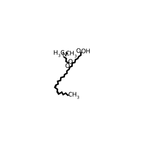 CCCCC/C=C\C/C=C\CCCCCCCCCC(CCCCCCCC(=O)O)OC(=O)CCCN(C)C